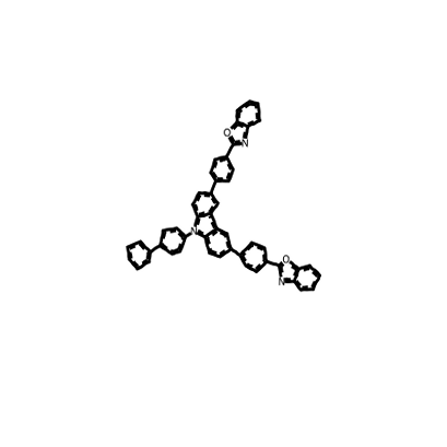 c1ccc(-c2ccc(-n3c4ccc(-c5ccc(-c6nc7ccccc7o6)cc5)cc4c4cc(-c5ccc(-c6nc7ccccc7o6)cc5)ccc43)cc2)cc1